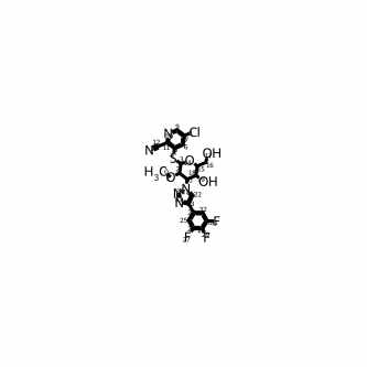 COC1C(Sc2cc(Cl)cnc2C#N)OC(CO)C(O)C1n1cc(-c2cc(F)c(F)c(F)c2)nn1